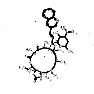 CC[C@H]1OC(=O)[C@H](C)C(=O)[C@H](C)[C@@H](O[C@@H]2OC(C)CC(N(C)C)C2O)[C@](C)(OC/C=C/c2cnc3ccccc3c2)C[C@@H](C)CN(C)[C@H](C)[C@H]2NC(=O)O[C@@]21C